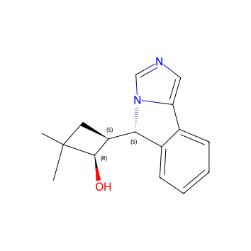 CC1(C)C[C@@H]([C@H]2c3ccccc3-c3cncn32)[C@H]1O